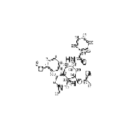 COc1cccc([C@@]23CCN(C)C[C@H]2C(OC(C)=O)C[C@@H](NC(=O)c2ccccc2)C3)c1